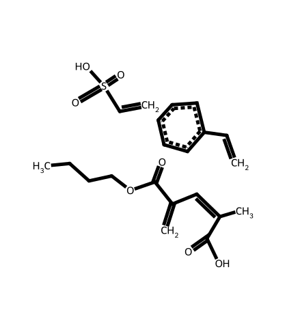 C=C(C=C(C)C(=O)O)C(=O)OCCCC.C=CS(=O)(=O)O.C=Cc1ccccc1